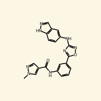 Cn1cc(C(=O)Nc2cccc(-c3nc(Nc4ccc5[nH]ncc5c4)no3)c2)cn1